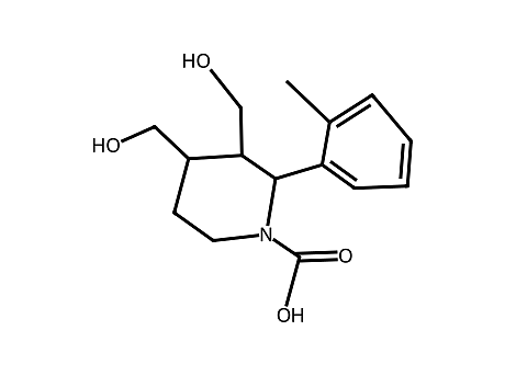 Cc1ccccc1C1C(CO)C(CO)CCN1C(=O)O